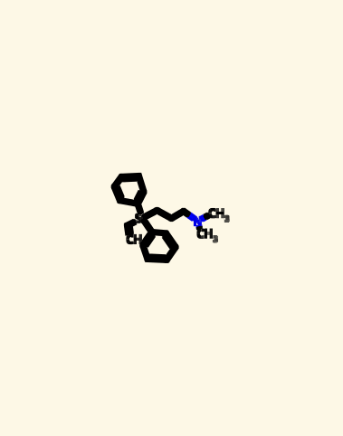 C=C[Si](CCCN(C)C)(c1ccccc1)c1ccccc1